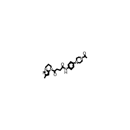 CC(=O)N1CCN(c2ccc(NC(=O)CCC(=O)N3CCCn4nc(C)cc43)cc2)CC1